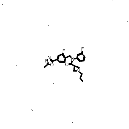 CCCN1CC(C(=O)N(Cc2ccc(-c3nnc(C)o3)cc2F)c2cccc(F)c2)C1